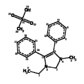 CCN1CN(C)C(c2ccccc2)=C1c1ccccc1.CS(=O)(=O)O